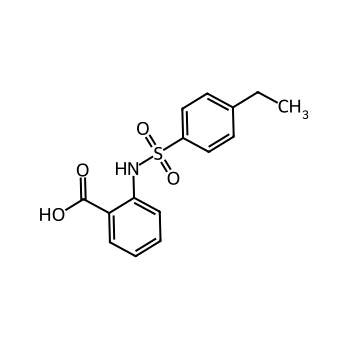 CCc1ccc(S(=O)(=O)Nc2ccccc2C(=O)O)cc1